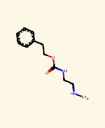 CNCCNC(=O)OCCc1ccccc1